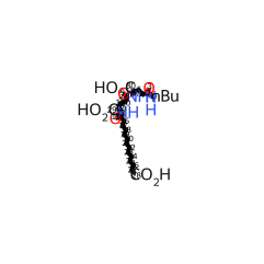 CCCCNC(=O)CC[C@H](NC(=O)CC[C@H](NC(=O)CCCCCCCCCCCCC(=O)O)C(=O)O)C(=O)O